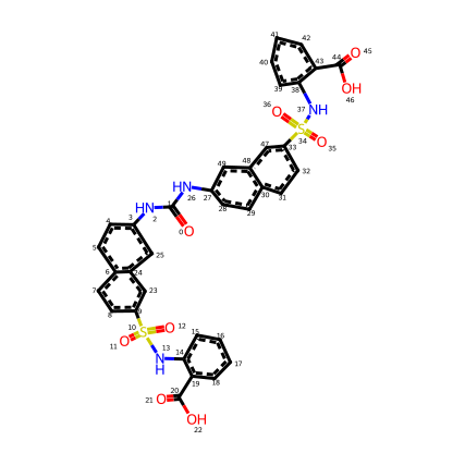 O=C(Nc1ccc2ccc(S(=O)(=O)Nc3ccccc3C(=O)O)cc2c1)Nc1ccc2ccc(S(=O)(=O)Nc3ccccc3C(=O)O)cc2c1